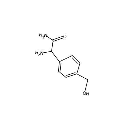 NC(=O)C(N)c1ccc(CO)cc1